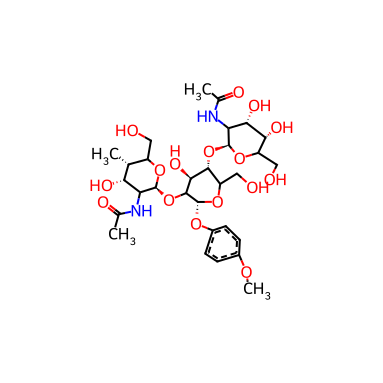 COc1ccc(O[C@H]2OC(CO)[C@@H](O[C@@H]3OC(CO)[C@@H](O)[C@@H](O)C3NC(C)=O)[C@H](O)C2O[C@@H]2OC(CO)[C@@H](C)[C@@H](O)C2NC(C)=O)cc1